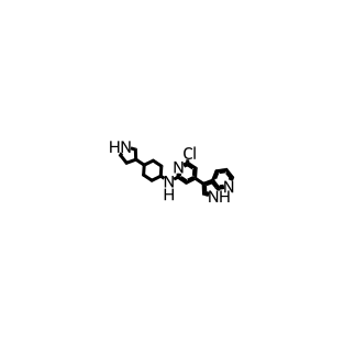 Clc1cc(-c2c[nH]c3ncccc23)cc(NC2CCC(C3CCNC3)CC2)n1